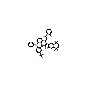 Cc1ccccc1C(C)CC1c2cccc3c2B(c2cc(C(C)(C)C)ccc2N3c2ccccc2)c2oc3cc4c(cc3c21)C(C)(C)CCC4(C)C